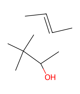 CC(O)C(C)(C)C.CC=CC